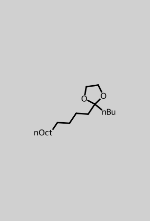 CCCCCCCCCCCCC1(CCCC)OCCO1